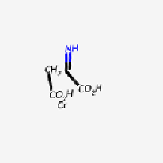 CC(=O)O.N=CC(=O)O.[Cr]